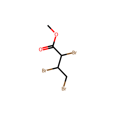 COC(=O)C(Br)C(Br)CBr